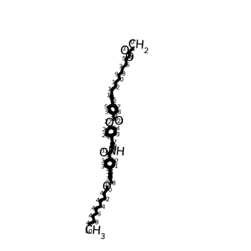 C=CC(=O)OCCCCCCCCCC#Cc1ccc(C(=O)Oc2ccc(C#CNC(=O)c3ccc(C#CCOCCCCCCCCCCC)cc3)cc2)cc1